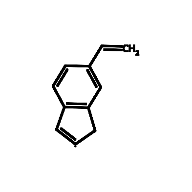 C=Cc1ccc2c(c1)C[C]=C2